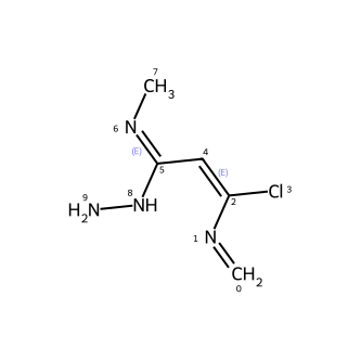 C=N/C(Cl)=C\C(=N/C)NN